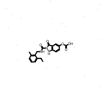 CCc1cccc(C)c1CNC(=O)n1[nH]c2ccc(OC(=O)O)cc2c1=O